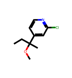 CCC(C)(OC)c1ccnc(Cl)c1